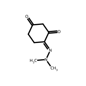 CN(C)N=C1CCC(=O)CC1=O